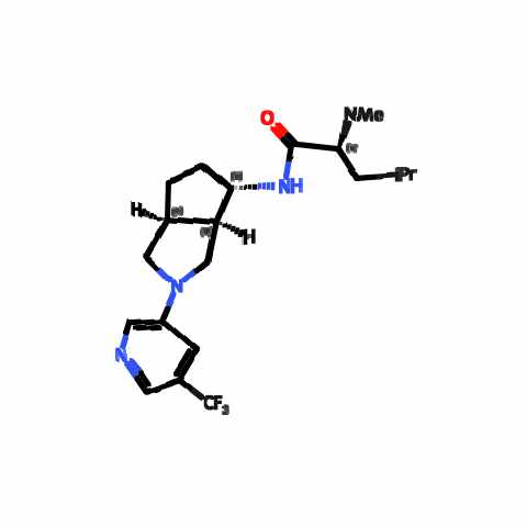 CN[C@@H](CC(C)C)C(=O)N[C@H]1CC[C@@H]2CN(c3cncc(C(F)(F)F)c3)C[C@@H]21